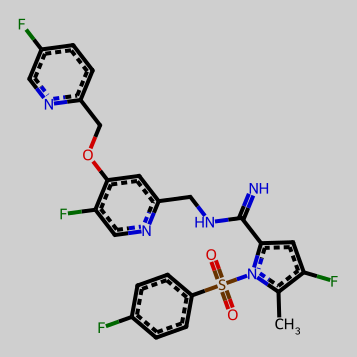 Cc1c(F)cc(C(=N)NCc2cc(OCc3ccc(F)cn3)c(F)cn2)n1S(=O)(=O)c1ccc(F)cc1